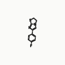 Fc1ccc(-c2cn3c(n2)SCC3)cc1